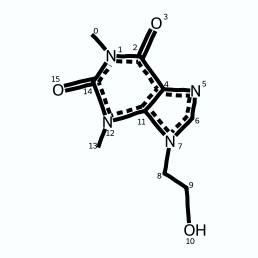 Cn1c(=O)c2ncn(CCO)c2n(C)c1=O